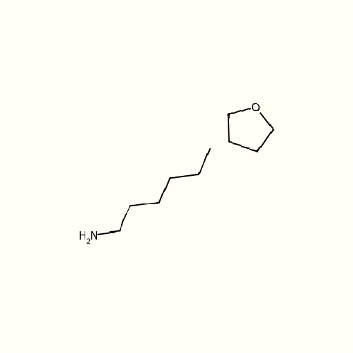 C1CCOC1.CCCCCCN